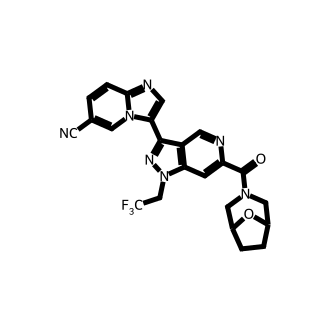 N#Cc1ccc2ncc(-c3nn(CC(F)(F)F)c4cc(C(=O)N5CC6CCC(C5)O6)ncc34)n2c1